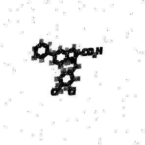 O=C(O)c1cc2cc(-c3ccccc3)ccc2n1Cc1ccc(Cl)c(Cl)c1